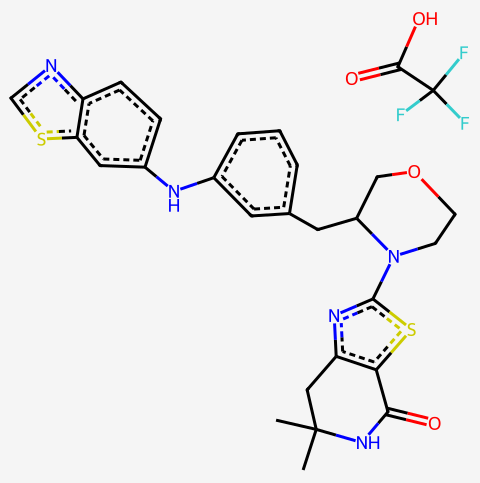 CC1(C)Cc2nc(N3CCOCC3Cc3cccc(Nc4ccc5ncsc5c4)c3)sc2C(=O)N1.O=C(O)C(F)(F)F